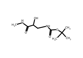 CNC(=O)C(O)CNC(=O)OC(C)(C)C